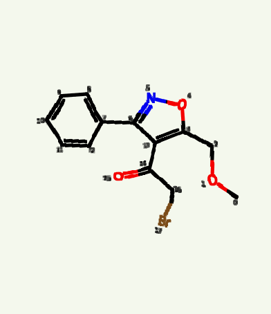 COCc1onc(-c2ccccc2)c1C(=O)CBr